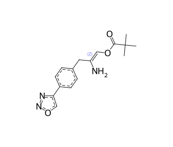 CC(C)(C)C(=O)O/C=C(\N)Cc1ccc(-c2conn2)cc1